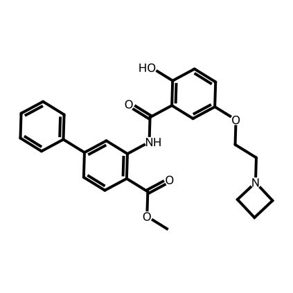 COC(=O)c1ccc(-c2ccccc2)cc1NC(=O)c1cc(OCCN2CCC2)ccc1O